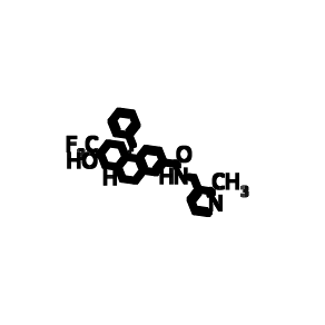 Cc1ncccc1CNC(=O)c1ccc2c(c1)CC[C@@H]1C[C@@](O)(C(F)(F)F)CC[C@@]21Cc1ccccc1